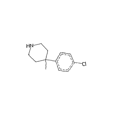 CC1(c2ccc(Cl)cc2)CCNCC1